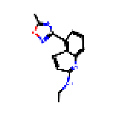 CCNc1ccc2c(-c3noc(C)n3)cccc2n1